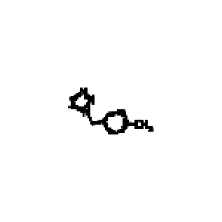 Cc1ccc(Cn2[c]cnn2)cc1